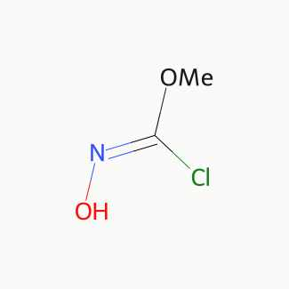 COC(Cl)=NO